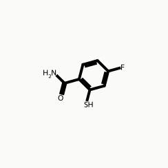 NC(=O)c1ccc(F)cc1S